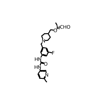 Cc1ccc(NC(=O)Nc2cc(F)cc(CN3CCC(CON(C)C=O)CC3)c2)cn1